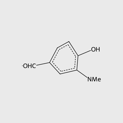 CNc1cc([C]=O)ccc1O